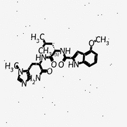 COc1cccc2[nH]c(C(=O)N[C@@H](CC(C)C)C(=O)NC(Cc3cncn3C)C(N)=O)cc12